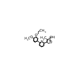 CCCOc1cc(-c2cccc(C3=C(C)B(O)OC3)n2)ccc1OC